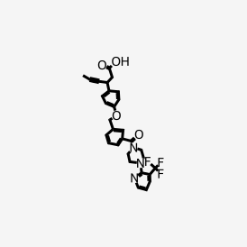 CC#CC(CC(=O)O)c1ccc(OCc2cccc(C(=O)N3CCN(c4ncccc4C(F)(F)F)CC3)c2)cc1